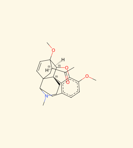 COc1ccc2c3c1O[C@@H]1C4(OC)C=CC5(C[C@@H]4C(C)=O)C(C2)N(C)CC[C@]315